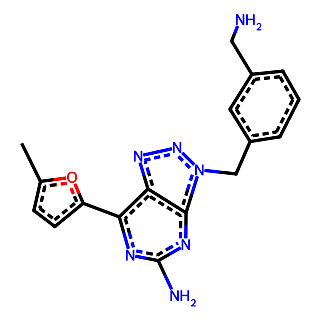 Cc1ccc(-c2nc(N)nc3c2nnn3Cc2cccc(CN)c2)o1